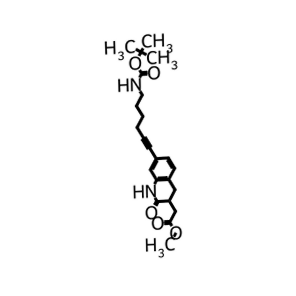 COC(=O)CC1Cc2ccc(C#CCCCCNC(=O)OC(C)(C)C)cc2NC1=O